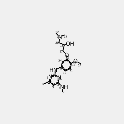 CNc1cc(C)nc(Nc2ccc(OC)c(OC[C@H](O)CN(C)C)c2)n1